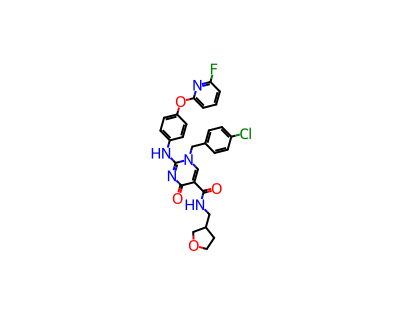 O=C(NCC1CCOC1)c1cn(Cc2ccc(Cl)cc2)c(Nc2ccc(Oc3cccc(F)n3)cc2)nc1=O